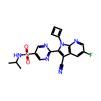 CC(C)NS(=O)(=O)c1cnc(-c2c(C#N)c3cc(F)cnc3n2C2=CC=C2)nc1